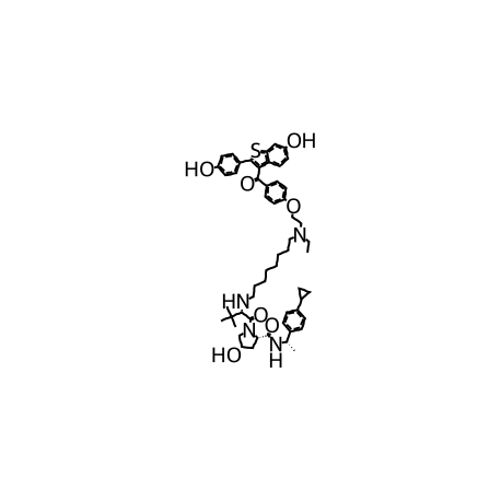 CCN(CCCCCCCCN[C@H](C(=O)N1C[C@H](O)C[C@H]1C(=O)N[C@@H](C)c1ccc(C2CC2)cc1)C(C)(C)C)CCOc1ccc(C(=O)c2c(-c3ccc(O)cc3)sc3cc(O)ccc23)cc1